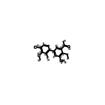 CCc1c(N)nc(-c2ccc(Cl)c(OC)c2F)nc1C(C)=O